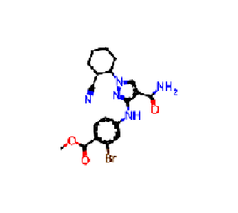 COC(=O)c1ccc(Nc2nn(C3CCCC[C@@H]3C#N)cc2C(N)=O)cc1Br